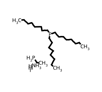 CCCCCCCCP(CCCCCCCC)CCCCCCCC.CCP.I.I.N